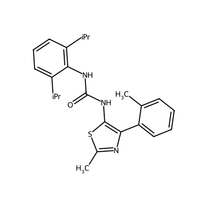 Cc1nc(-c2ccccc2C)c(NC(=O)Nc2c(C(C)C)cccc2C(C)C)s1